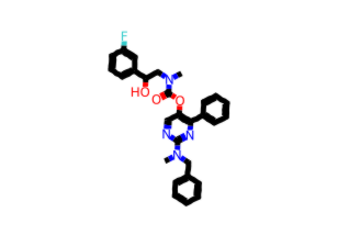 CN(CC(O)c1cccc(F)c1)C(=O)Oc1cnc(N(C)Cc2ccccc2)nc1-c1ccccc1